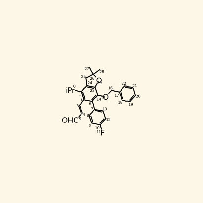 CC(C)c1c(/C=C/C=O)c(-c2ccc(F)cc2)c(OCc2ccccc2)c2c1CC(C)(C)O2